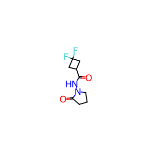 O=C(NN1CCCC1=O)C1CC(F)(F)C1